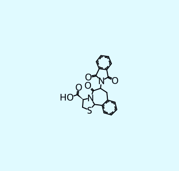 O=C(O)[C@@H]1CSC2c3ccccc3CC(N3C(=O)c4ccccc4C3=O)C(=O)N21